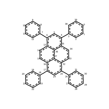 c1ccc(-c2cc(-c3ccccc3)c3ccc4c(-c5ccccc5)cc(-c5ccccc5)c5ccc2c3c54)cc1